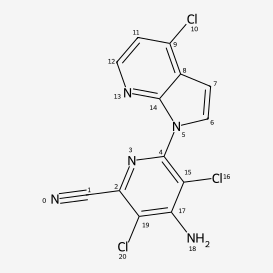 N#Cc1nc(-n2ccc3c(Cl)ccnc32)c(Cl)c(N)c1Cl